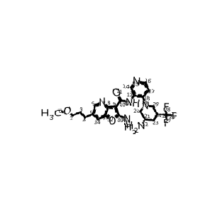 COCCCc1cnc2c(C(=O)Nc3cnccc3N3C[C@H](N)C[C@H](C(F)(F)F)C3)c(N)oc2c1